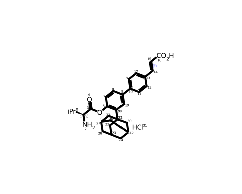 CC(C)[C@H](N)C(=O)Oc1ccc(-c2ccc(/C=C/C(=O)O)cc2)cc1C12CC3CC(CC(C3)C1)C2.Cl